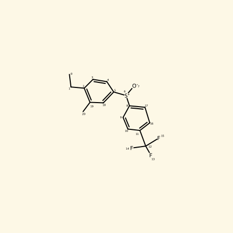 CCc1ccc([S+]([O-])c2ccc(C(F)(F)F)cc2)cc1C